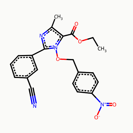 CCOC(=O)c1c(C)nc(-c2cccc(C#N)c2)n1OCc1ccc([N+](=O)[O-])cc1